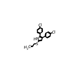 C=CCSc1cc(-c2ccc(Cl)cc2)c(-c2ccc(Cl)cc2)[nH]1